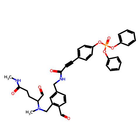 CNC(=O)CCC(C=O)N(C)Cc1cc(CNC(=O)C#Cc2ccc(OP(=O)(Oc3ccccc3)Oc3ccccc3)cc2)ccc1C=O